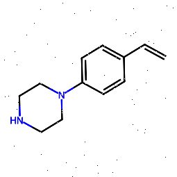 C=Cc1ccc(N2CCNCC2)cc1